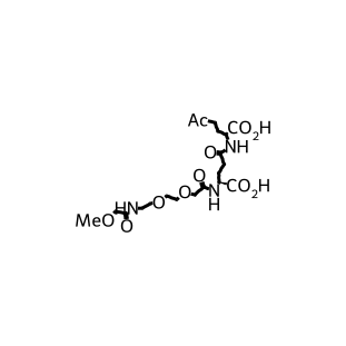 COCC(=O)NCCOCCOCC(=O)N[C@@H](CCC(=O)N[C@@H](CCC(C)=O)C(=O)O)C(=O)O